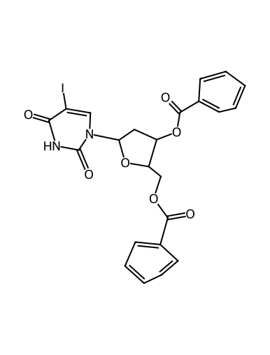 O=C(OCC1OC(n2cc(I)c(=O)[nH]c2=O)CC1OC(=O)c1ccccc1)c1ccccc1